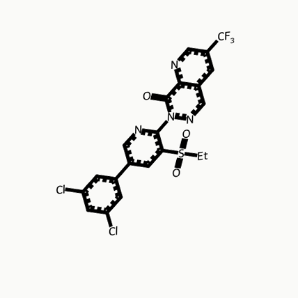 CCS(=O)(=O)c1cc(-c2cc(Cl)cc(Cl)c2)cnc1-n1ncc2cc(C(F)(F)F)cnc2c1=O